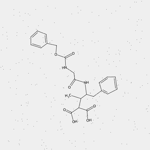 CC(C(Cc1ccccc1)NC(=O)CNC(=O)OCc1ccccc1)C(C(=O)O)C(=O)O